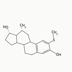 CSc1cc2c(cc1O)CCC1C2C[C@@H](C)C2C1CC[C@@H]2O